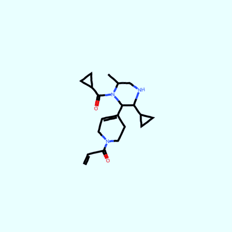 C=CC(=O)N1CC=C(C2C(C3[CH]C3)NCC(C)N2C(=O)C2CC2)CC1